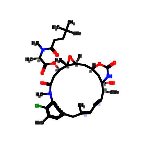 COc1cc2cc(c1Cl)N(C)C(=O)C[C@H](OC(=O)[C@H](C)N(C)C(=O)CCC(C)(C)SC)[C@]1(C)O[C@H]1C[C@@H]1C[C@@](O)(NC(=O)O1)[C@H](OC)/C=C/C=C(\C)C2